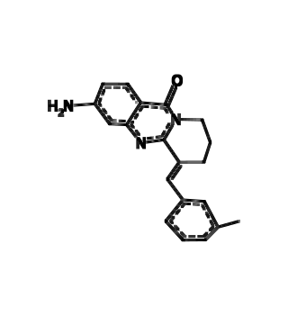 Cc1cccc(/C=C2\CCCn3c2nc2cc(N)ccc2c3=O)c1